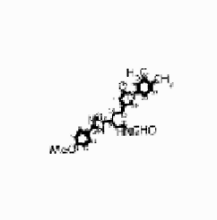 COc1ccc(-c2noc(C(CCNC=O)CCC3CC(=O)N(c4ccc(C)c(C)c4)C3)n2)cc1